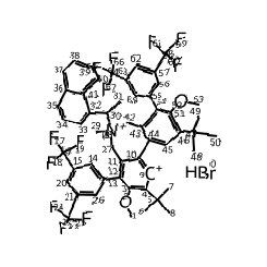 Br.COC1=C(C(C)(C)C)[C+]=C2C(=C1c1cc(C(F)(F)F)cc(C(F)(F)F)c1)C[N@+](C)(C(C)c1cccc3ccccc13)Cc1c2cc(C(C)(C)C)c(OC)c1-c1cc(C(F)(F)F)cc(C(F)(F)F)c1